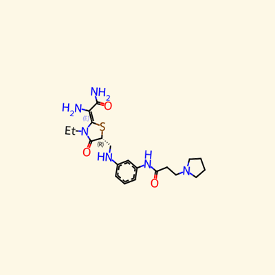 CCN1C(=O)[C@@H](CNc2cccc(NC(=O)CCN3CCCC3)c2)S/C1=C(/N)C(N)=O